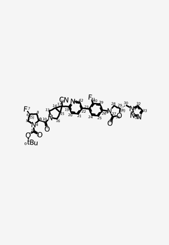 CC(C)(C)OC(=O)N1C[C@@H](F)C[C@H]1C(=O)N1CC2C(C1)C2(C#N)c1ccc(-c2ccc(N3C[C@H](Cn4ccnn4)OC3=O)cc2F)cn1